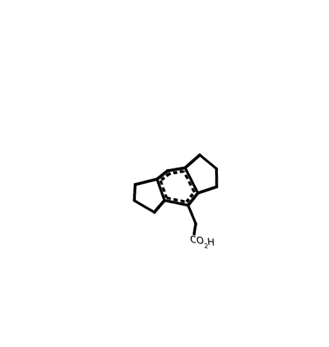 O=C(O)Cc1c2c(cc3c1CCC3)CCC2